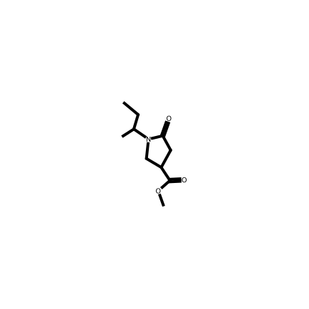 CCC(C)N1CC(C(=O)OC)CC1=O